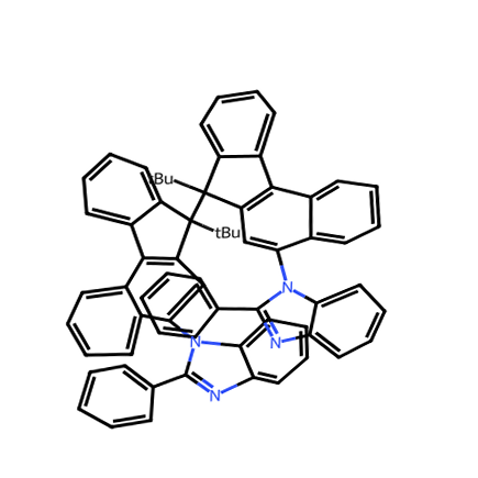 CC(C)(C)C1(C2(C(C)(C)C)c3ccccc3-c3c2cc(-n2c(-c4ccccc4)nc4ccccc42)c2ccccc32)c2ccccc2-c2c1cc(-n1c(-c3ccccc3)nc3ccccc31)c1ccccc21